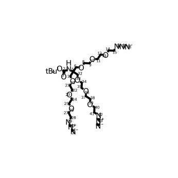 CC(C)(C)OC(=O)NC(COCCOCCOCCN=[N+]=[N-])(COCCOCCOCCN=[N+]=[N-])COCCOCCOCCN=[N+]=[N-]